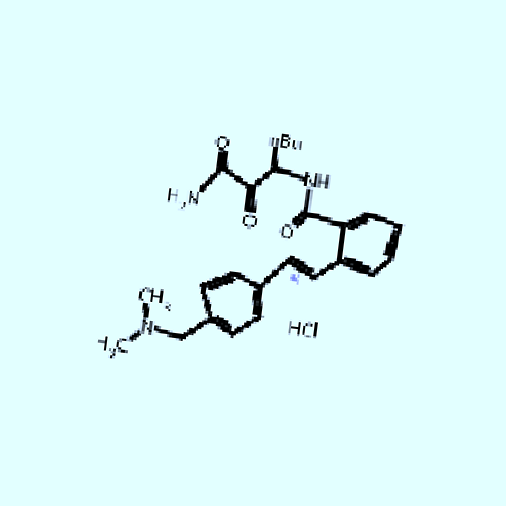 CCCCC(NC(=O)c1ccccc1/C=C/c1ccc(CN(C)C)cc1)C(=O)C(N)=O.Cl